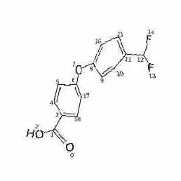 O=C(O)c1ccc(Oc2ccc(C(F)F)cc2)cc1